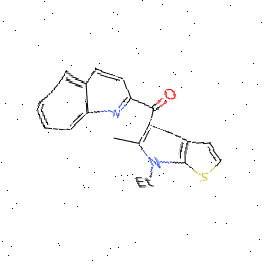 CCn1c(C)c(C(=O)c2ccc3ccccc3n2)c2ccsc21